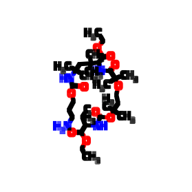 CCOC(=O)C(CC)NC(=O)OC(C)(C)CCOC(C)(C)C(=O)NC(C(=O)OCC)C(C)(C)CC(C)(C)NC(=O)OCCCN